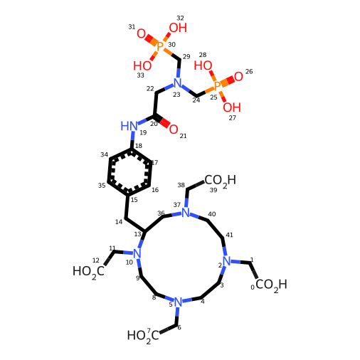 O=C(O)CN1CCN(CC(=O)O)CCN(CC(=O)O)C(Cc2ccc(NC(=O)CN(CP(=O)(O)O)CP(=O)(O)O)cc2)CN(CC(=O)O)CC1